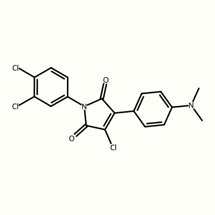 CN(C)c1ccc(C2=C(Cl)C(=O)N(c3ccc(Cl)c(Cl)c3)C2=O)cc1